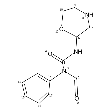 O=[C]N(C(=O)NC1CNCCO1)c1ccccc1